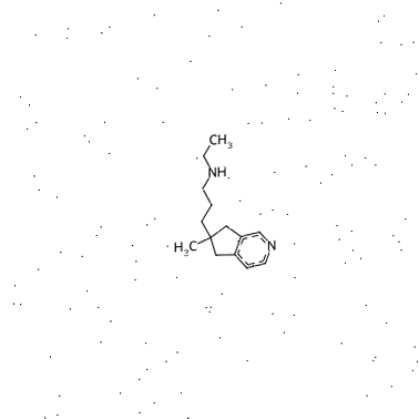 CCNCCCC1(C)Cc2ccncc2C1